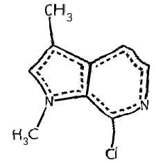 Cc1cn(C)c2c(Cl)nccc12